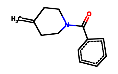 C=C1CCN(C(=O)c2ccccc2)CC1